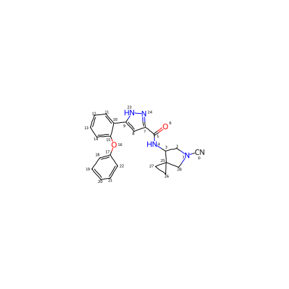 N#CN1CC(NC(=O)c2cc(-c3ccccc3Oc3ccccc3)[nH]n2)C2(CC2)C1